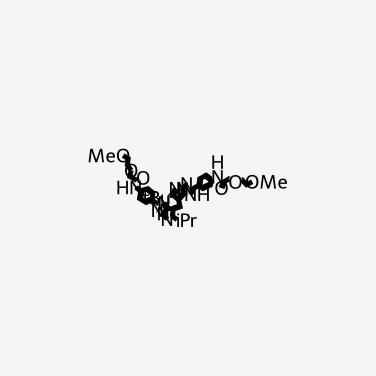 COCCOCC(=O)Nc1ccc(-c2nc3/c(=C\c4c(C(C)(C)C)nn5nc(-c6ccc(NC(=O)COCCOC)cc6)[nH]c45)c(C(C)C)nn3n2)cc1